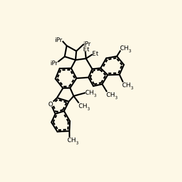 CCC1(CC)c2c(cc(C)c3c(C)cc(C)cc23)-c2c(ccc3c2C(C)(C)c2c-3oc3ccc(C)cc23)C12C(C(C)C)C(C(C)C)C2C(C)C